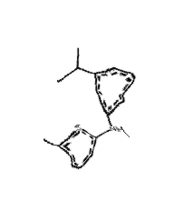 Cc1ccc(Nc2cccc(C(C)C)c2)s1